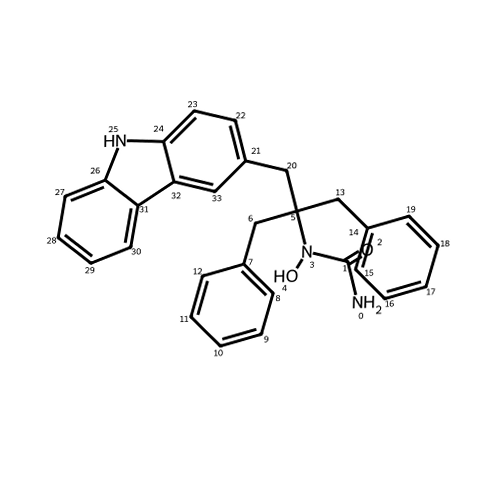 NC(=O)N(O)C(Cc1ccccc1)(Cc1ccccc1)Cc1ccc2[nH]c3ccccc3c2c1